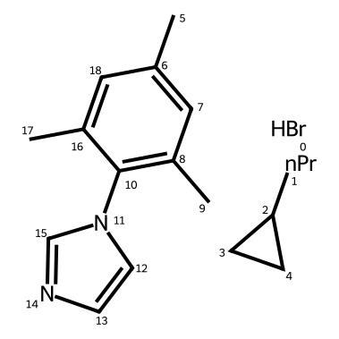 Br.CCCC1CC1.Cc1cc(C)c(-n2ccnc2)c(C)c1